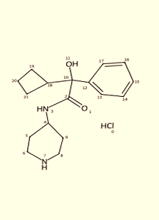 Cl.O=C(NC1CCNCC1)C(O)(c1ccccc1)C1CCC1